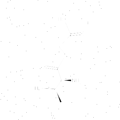 C[C@@H](O)[C@H](N)C(=O)NCC(=O)O